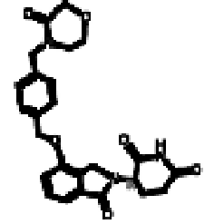 O=C1CC[C@@H](N2Cc3c(OCc4ccc(CN5CCOCC5=O)cc4)cccc3C2=O)C(=O)N1